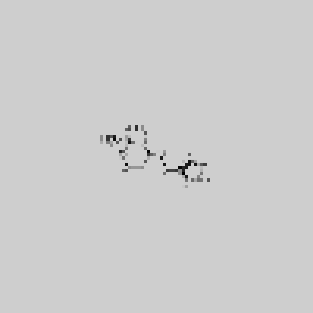 CC1(C)CN(CCn2ccnc2)CCO1